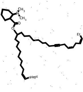 CC/C=C\C/C=C\CC#CCCCCCCCCC(CCCCCCCC/C=C\CCCCCCC)OC(=O)C1CCCCC1N(C)C